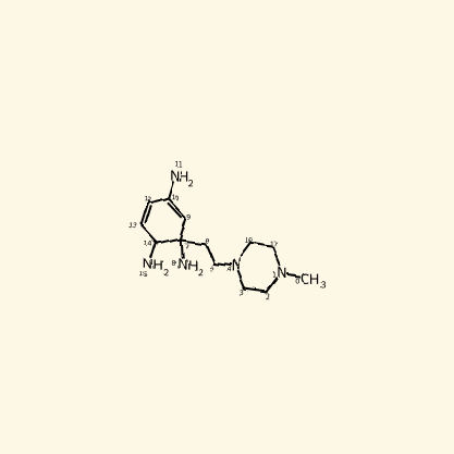 CN1CCN(CCC2(N)C=C(N)C=CC2N)CC1